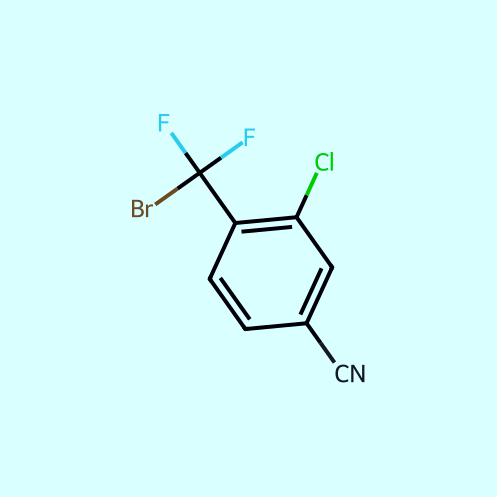 N#Cc1ccc(C(F)(F)Br)c(Cl)c1